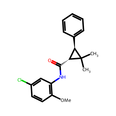 COc1ccc(Cl)cc1NC(=O)[C@@H]1[C@@H](c2ccccc2)C1(C)C